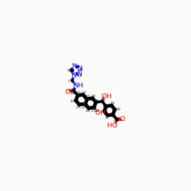 O=C(O)c1ccc(C(O)c2cc3cc(C(=O)NCn4cnnn4)ccc3cc2O)cc1